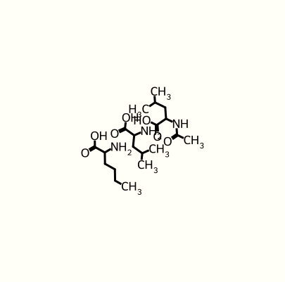 CC(=O)NC(CC(C)C)C(=O)O.CC(C)CC(N)C(=O)O.CCCCC(N)C(=O)O